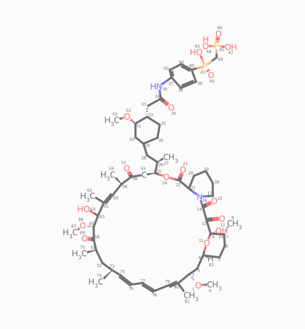 CO[C@H]1C[C@@H]2CC[C@@H](C)[C@@](O)(O2)C(=O)C(=O)N2CCCCC2C(=O)O[C@H]([C@H](C)CC2CC[C@@H](CC(=O)Nc3ccc(P(=O)(O)CP(=O)(O)O)cc3)[C@H](OC)C2)CC(=O)[C@H](C)/C=C(\C)C(O)[C@@H](OC)C(=O)[C@H](C)C[C@H](C)/C=C/C=C/C=C/1C